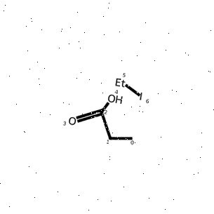 CCC(=O)O.CCI